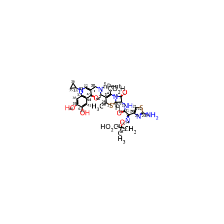 CCCCCN(CC1=C(C(=O)O)N2C(=O)[C@@H](NC(=O)/C(=N\OC(C)(C)C(=O)O)c3csc(N)n3)[C@H]2S[C@H]1C)Cc1cn(C2CC2)c2cc(O)c(O)cc2c1=O